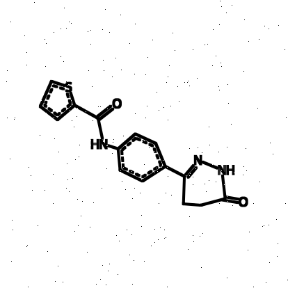 O=C1CCC(c2ccc(NC(=O)c3cccs3)cc2)=NN1